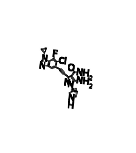 NC(=O)c1c(C#Cc2cc3ncn(C4CC4)c3c(F)c2Cl)nn([C@H]2CCNC2)c1N